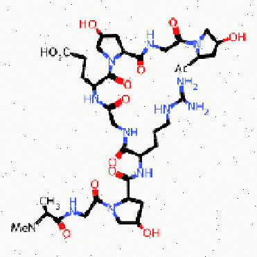 CNC(C)C(=O)NCC(=O)N1CC(O)CC1C(=O)NC(CCCNC(N)N)C(=O)NCC(=O)NC(CCC(=O)O)C(=O)N1CC(O)CC1C(=O)NCC(=O)N1CC(O)CC1C(C)=O